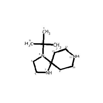 CC(C)(C)N1CCNC12CCNCC2